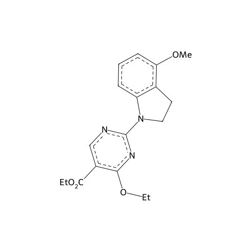 CCOC(=O)c1cnc(N2CCc3c(OC)cccc32)nc1OCC